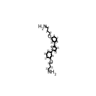 NCCCOc1cccc(-c2ccc(-c3cccc(OCCCN)c3)s2)c1